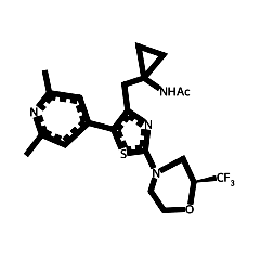 CC(=O)NC1(Cc2nc(N3CCO[C@H](C(F)(F)F)C3)sc2-c2cc(C)nc(C)c2)CC1